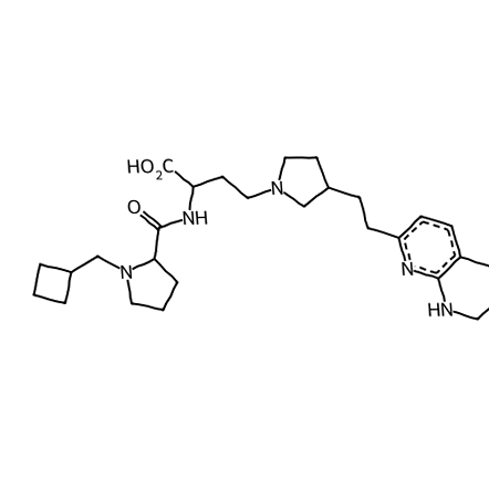 O=C(O)C(CCN1CCC(CCc2ccc3c(n2)NCCC3)C1)NC(=O)C1CCCN1CC1CCC1